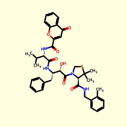 Cc1ccccc1CNC(=O)[C@H]1N(C(=O)[C@@H](O)[C@H](Cc2ccccc2)NC(=O)[C@@H](NC(=O)c2cc(=O)c3ccccc3o2)C(C)C)CSC1(C)C